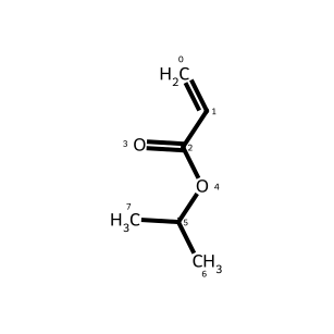 C=CC(=O)O[C](C)C